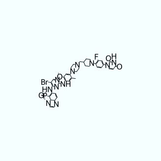 COc1cc(N2CCN(CC3CCN(c4ccc(-n5ccc(=O)[nH]c5=O)cc4F)CC3)CC2)c(C)cc1Nc1ncc(Br)c(Nc2ccc3nccnc3c2P(C)(C)=O)n1